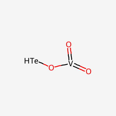 [O]=[V](=[O])[O][TeH]